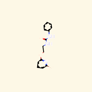 O=C(NCCOc1cccc(Br)n1)Nc1ccccc1